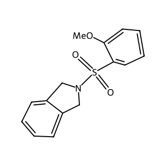 COc1ccccc1S(=O)(=O)N1Cc2ccccc2C1